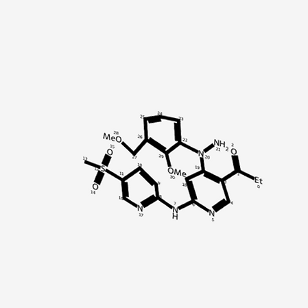 CCC(=O)c1cnc(Nc2ccc(S(C)(=O)=O)cn2)cc1N(N)c1cccc(COC)c1OC